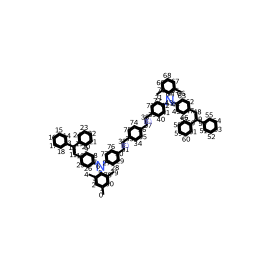 Cc1cc(C)c(N(c2ccc(C=C(c3ccccc3)c3ccccc3)cc2)c2ccc(/C=C/c3ccc(/C=C/c4ccc(N(c5ccc(C=C(c6ccccc6)c6ccccc6)cc5)c5c(C)cccc5C)cc4)cc3)cc2)c(C)c1